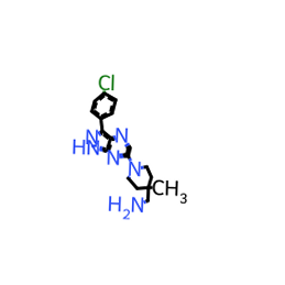 CC1(CN)CCN(c2cnc3c(-c4ccc(Cl)cc4)n[nH]c3n2)CC1